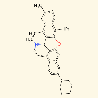 Cc1ccc2c(C(C)C)c3c(c(C)c2c1)-c1c2c(cc4cc(C5CCCCC5)ccc4c2cc[n+]1C)O3